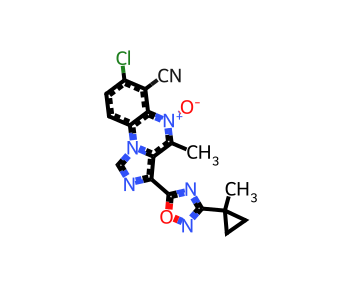 Cc1c2c(-c3nc(C4(C)CC4)no3)ncn2c2ccc(Cl)c(C#N)c2[n+]1[O-]